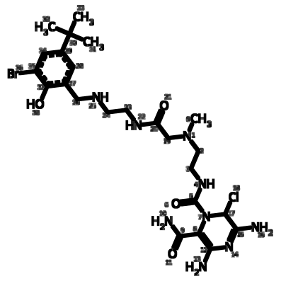 CN(CCNC(=O)N1C(C(N)=O)=C(N)N=C(N)C1Cl)CC(=O)NCCNCc1cc(C(C)(C)C)cc(Br)c1O